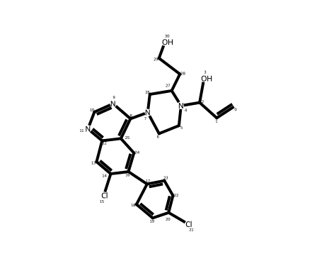 C=CC(O)N1CCN(c2ncnc3cc(Cl)c(-c4ccc(Cl)cc4)cc23)CC1CCO